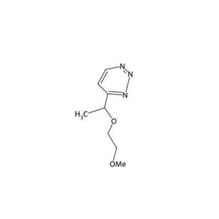 COCCOC(C)c1ccnnn1